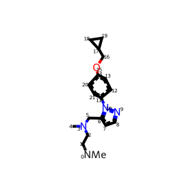 CNCCN(C)Cc1ccnn1-c1ccc(OCC2CC2)cc1